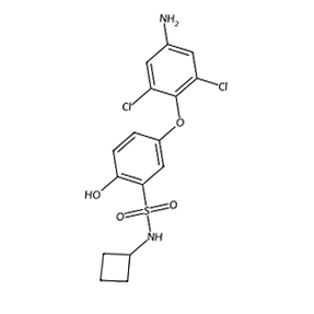 Nc1cc(Cl)c(Oc2ccc(O)c(S(=O)(=O)NC3CCC3)c2)c(Cl)c1